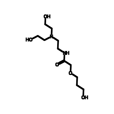 O=C(COCCCO)NCCN(CCO)CCO